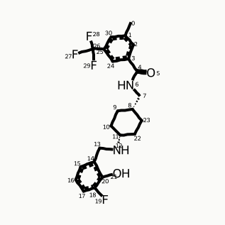 Cc1cc(C(=O)NC[C@H]2CC[C@@H](NCc3cccc(F)c3O)CC2)cc(C(F)(F)F)c1